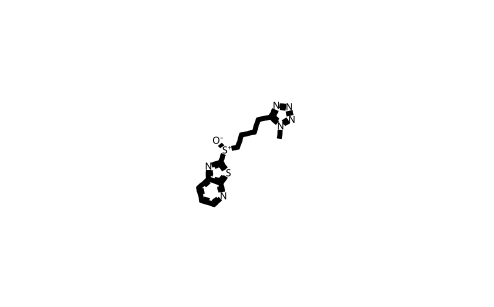 Cn1nnnc1CCCC[S+]([O-])c1nc2cccnc2s1